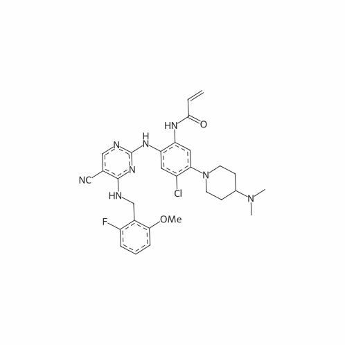 C=CC(=O)Nc1cc(N2CCC(N(C)C)CC2)c(Cl)cc1Nc1ncc(C#N)c(NCc2c(F)cccc2OC)n1